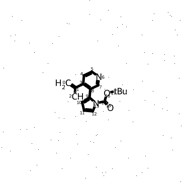 C=C(C)c1ccncc1-c1cccn1C(=O)OC(C)(C)C